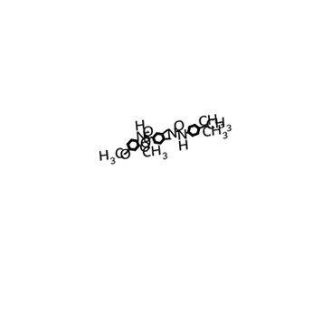 COc1ccc(NS(=O)(=O)c2ccc3c(c2)CN(C(=O)Nc2ccc(C(C)(C)C)cc2)C3)c(OC)c1